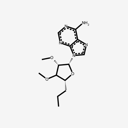 CCC[C@H]1O[C@@H](n2cnc3c(N)ncnc32)[C@@H](OC)C1OC